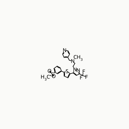 CN(CCn1nc(C(F)(F)F)cc1-c1ccc(-c2cccc(S(C)(=O)=O)c2)s1)Cc1ccncc1